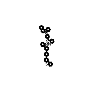 c1ccc2c(c1)ccc1c2c2ccccc2n1-c1ccc(-c2nc(-n3c4ccccc4c4cc(-c5ccc(-c6ccc7sc8ccccc8c7c6)cc5)ccc43)nc3ccccc23)cc1